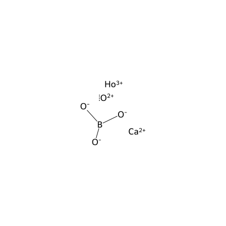 [Ca+2].[Ho+3].[O+2].[O-]B([O-])[O-]